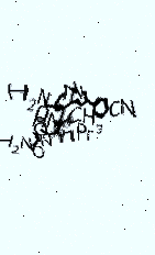 CCC[C@@H](c1nc(C(N)=O)co1)[C@@H](C)Nc1c(C(N)=O)cnn2cc(-c3ccc(C#N)cc3)cc12